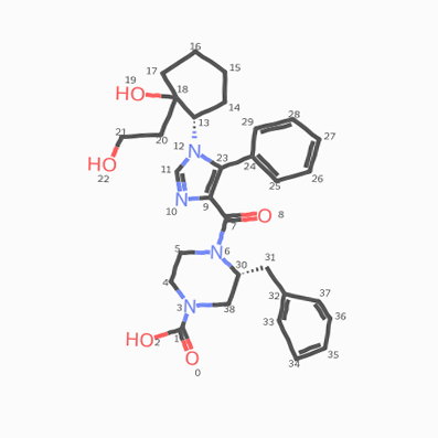 O=C(O)N1CCN(C(=O)c2ncn([C@H]3CCCCC3(O)CCO)c2-c2ccccc2)[C@H](Cc2ccccc2)C1